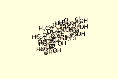 C=C1C[C@@]23CC[C@H]4[C@@](C)(CCC[C@@]4(C)C(=O)OC[C@H]4O[C@H](O[C@]5(CCl)O[C@H](CCl)C[C@@H]5O)[C@H](O)[C@@H](O)[C@H]4Cl)[C@@H]2CC[C@]1(O[C@@H]1O[C@H](CO)[C@@H](O)[C@H](O[C@@H]2O[C@H](CO)[C@@H](O)[C@H](O)[C@H]2O)[C@H]1O[C@@H]1O[C@H](CO)[C@@H](O)[C@H](O)[C@H]1O)C3